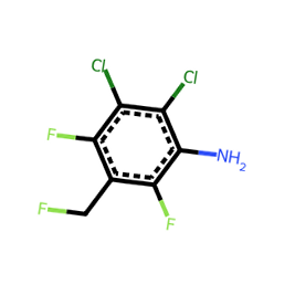 Nc1c(F)c(CF)c(F)c(Cl)c1Cl